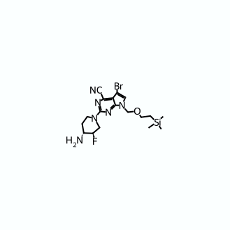 C[Si](C)(C)CCOCn1cc(Br)c2c(C#N)nc(N3CC[C@@H](N)[C@H](F)C3)nc21